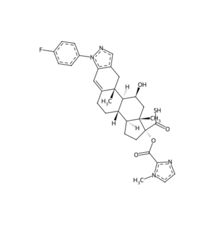 Cn1ccnc1C(=O)O[C@]1(C(=O)S)CC[C@H]2[C@@H]3CCC4=Cc5c(cnn5-c5ccc(F)cc5)C[C@]4(C)[C@H]3[C@@H](O)C[C@@]21C